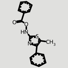 Cc1sc(NOC(=O)c2ccccc2)nc1-c1ccccc1